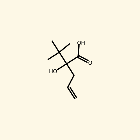 C=CCC(O)(C(=O)O)C(C)(C)C